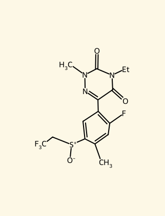 CCn1c(=O)c(-c2cc([S+]([O-])CC(F)(F)F)c(C)cc2F)nn(C)c1=O